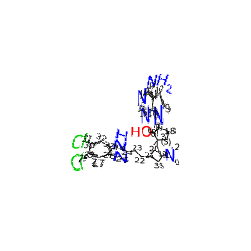 CN(C[C@@H]1C[C@@H](O)[C@H](n2ccc3c(N)ncnc32)C1)C1CC(CCc2nc3cc(Cl)c(Cl)cc3[nH]2)C1